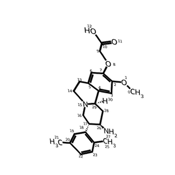 COc1cc2c(cc1OCC(=O)O)CCN1C[C@@H](c3cc(C)ccc3C)[C@H](N)C[C@H]21